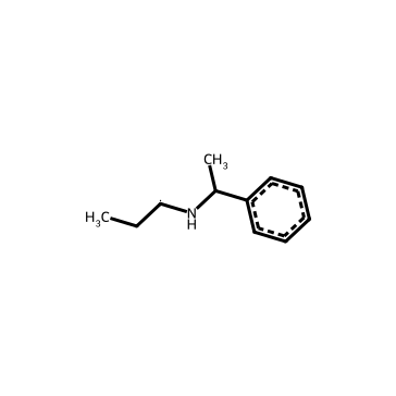 CC[CH]NC(C)c1ccccc1